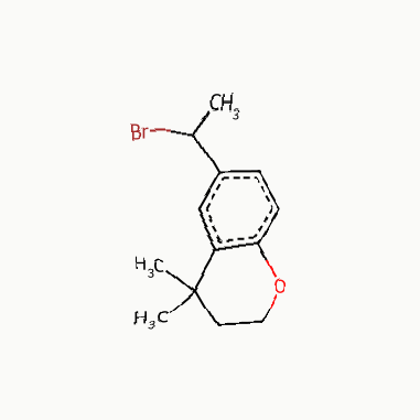 CC(Br)c1ccc2c(c1)C(C)(C)CCO2